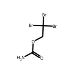 NC(=O)OCC(Br)(Br)Br